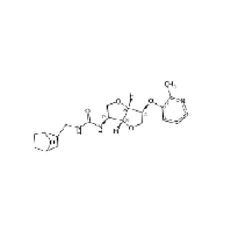 Cc1ncccc1O[C@H]1CO[C@H]2[C@@H]1OC[C@@H]2NC(=O)NCC1CC2CCC1O2